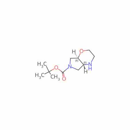 CC(C)(C)OC(=O)N1C[C@H]2NCCO[C@@H]2C1